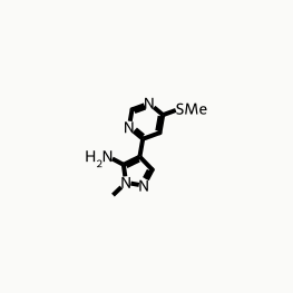 CSc1cc(-c2cnn(C)c2N)ncn1